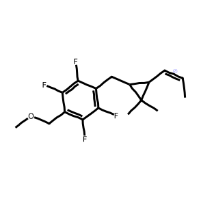 C/C=C\C1C(Cc2c(F)c(F)c(COC)c(F)c2F)C1(C)C